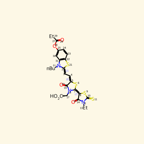 CCCCN1/C(=C/C=c2/s/c(=C3\SC(=S)N(CC)C3=O)n(CC(=O)O)c2=O)Sc2ccc(OC(=O)CC)cc21